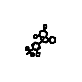 CS(=O)(=O)c1ccc(CCC2(C3CC(=O)CC(=O)O3)CCCC2)cc1Cl